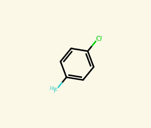 [18F]c1ccc(Cl)cc1